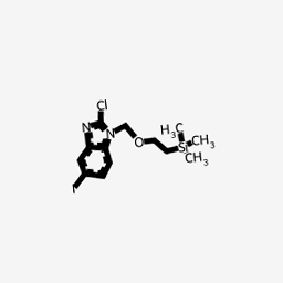 C[Si](C)(C)CCOCn1c(Cl)nc2cc(I)ccc21